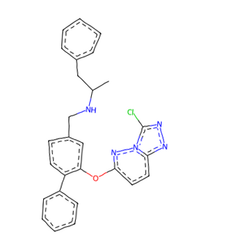 CC(Cc1ccccc1)NCc1ccc(-c2ccccc2)c(Oc2ccc3nnc(Cl)n3n2)c1